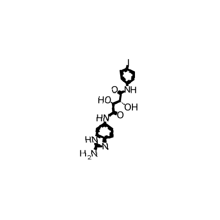 Nc1nc2ccc(NC(=O)[C@H](O)[C@@H](O)C(=O)Nc3ccc(I)cc3)cc2[nH]1